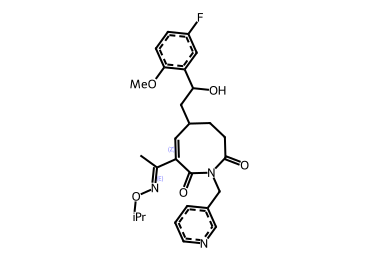 COc1ccc(F)cc1C(O)CC1/C=C(/C(C)=N/OC(C)C)C(=O)N(Cc2cccnc2)C(=O)CC1